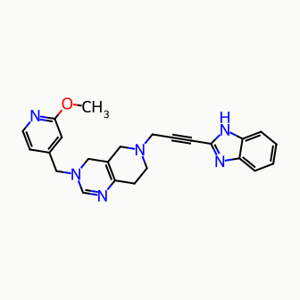 COc1cc(CN2C=NC3=C(C2)CN(CC#Cc2nc4ccccc4[nH]2)CC3)ccn1